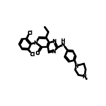 CCc1cn(-c2c(Cl)cccc2Cl)c(=O)c2cnc(Nc3ccc(N4CCN(C)CC4)cc3)nc12